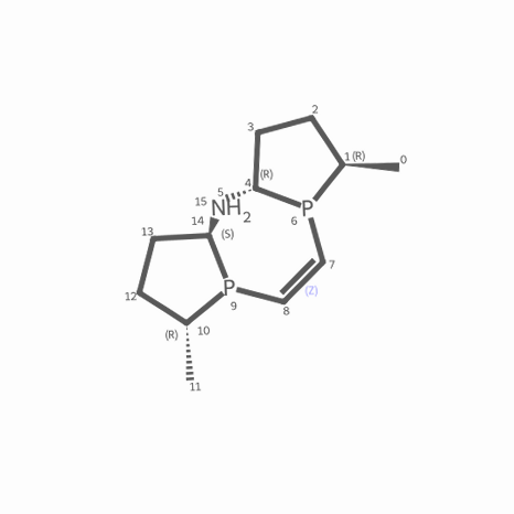 C[C@@H]1CC[C@@H](C)P1/C=C\P1[C@H](C)CC[C@H]1N